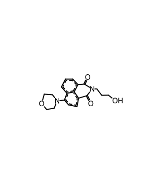 O=C1c2cccc3c(N4CCOCC4)ccc(c23)C(=O)N1CCCO